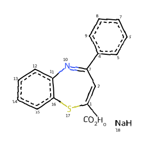 O=C(O)C1=CC(c2ccccc2)=Nc2ccccc2S1.[NaH]